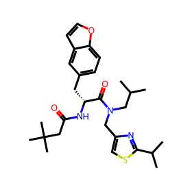 CC(C)CN(Cc1csc(C(C)C)n1)C(=O)[C@@H](Cc1ccc2occc2c1)NC(=O)CC(C)(C)C